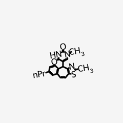 CCCc1ccc2c(c1)C=Cc1sc(C)nc1C2c1cn(C)c(=O)[nH]c1=O